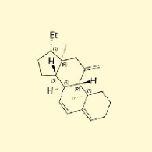 C=C1C[C@]2(C)[C@@H](CC)CC[C@H]2[C@@H]2C=CC3=CCCC[C@]3(C)[C@@H]12